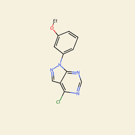 CCOc1cccc(-n2ncc3c(Cl)ncnc32)c1